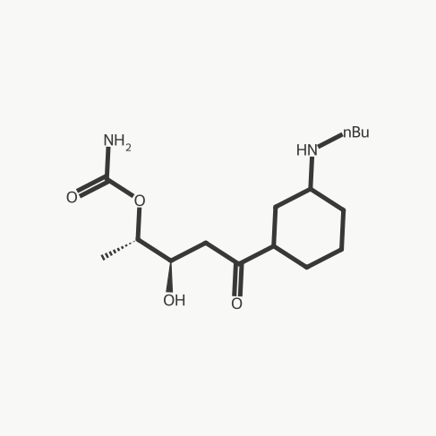 CCCCNC1CCCC(C(=O)C[C@@H](O)[C@H](C)OC(N)=O)C1